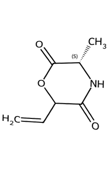 C=CC1OC(=O)[C@H](C)NC1=O